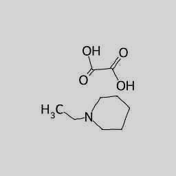 CCN1CCCCC1.O=C(O)C(=O)O